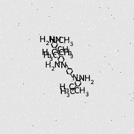 CNc1cc(C(C)(C)C(C)(C)C2=CC(N)C(/N=C/c3ccc(/C=N/c4cc(C(C)(C)C)ccc4N)cc3)C=C2)ccc1N